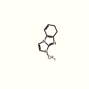 Cn1ccn2c3c(nc12)CCC=C3